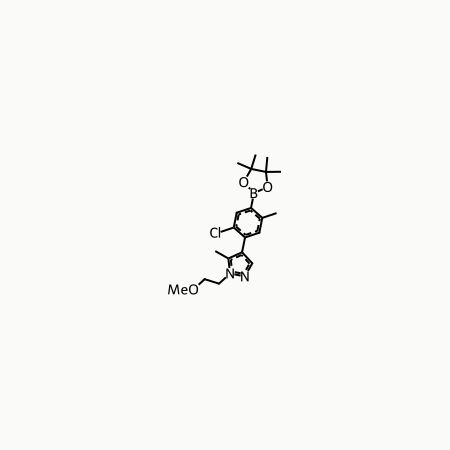 COCCn1ncc(-c2cc(C)c(B3OC(C)(C)C(C)(C)O3)cc2Cl)c1C